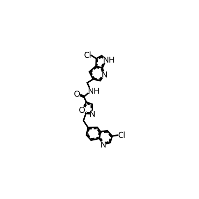 O=C(NCc1cnc2[nH]cc(Cl)c2c1)c1cnc(Cc2ccc3ncc(Cl)cc3c2)o1